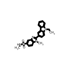 CCn1c2ccccc2c2cc(-c3nc4cc(S(=O)(=O)NC)ccc4n3C)ccc21